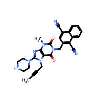 CC#CCn1c(N2CCNCC2)nc2c1c(=O)n(Cc1cc(C#N)c3ccccc3c1C#N)c(=O)n2C